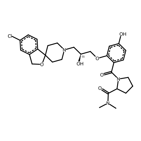 CN(C)C(=O)C1CCCN1C(=O)c1ccc(O)cc1OC[C@@H](O)CN1CCC2(CC1)OCc1cc(Cl)ccc12